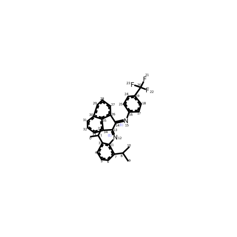 CC(C)c1cccc(C(C)C)c1/N=C1/C(=N/c2ccc(C(F)(F)F)cc2)c2cccc3cccc1c23